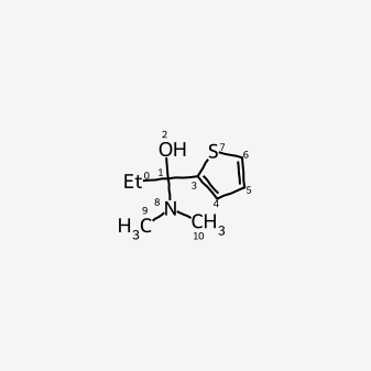 CCC(O)(c1cccs1)N(C)C